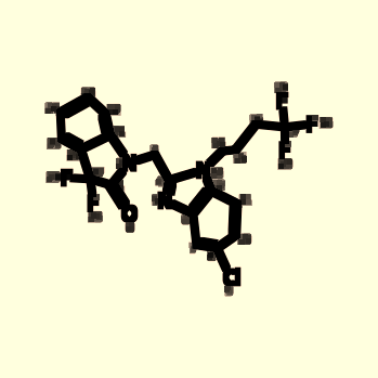 O=C1N(Cc2nc3cc(Cl)ccc3n2CCCC(F)(F)F)c2ccccc2C1(F)F